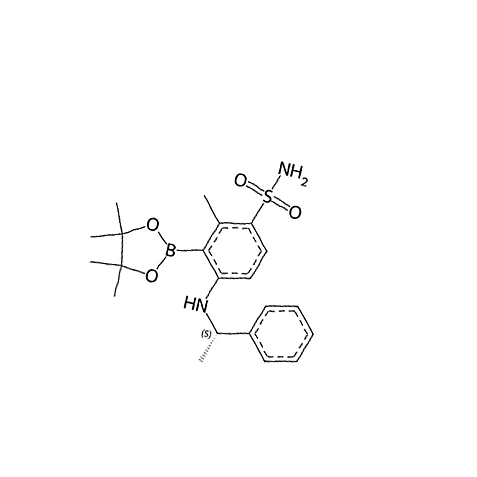 Cc1c(S(N)(=O)=O)ccc(N[C@@H](C)c2ccccc2)c1B1OC(C)(C)C(C)(C)O1